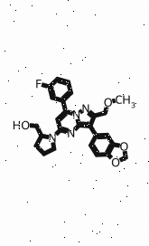 COCc1nn2c(-c3cccc(F)c3)cc(N3CCCC3CO)nc2c1-c1ccc2c(c1)OCO2